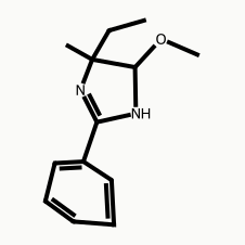 CCC1(C)N=C(c2ccccc2)NC1OC